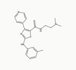 Cc1cccc(Nc2nc(-c3ccncc3)c(C(=O)NCCN(C)C)s2)c1